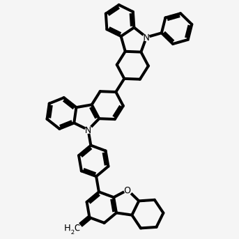 C=C1C=C(c2ccc(-n3c4c(c5ccccc53)CC(C3CCC5C(C3)c3ccccc3N5c3ccccc3)C=C4)cc2)C2=C(C1)C1CCCCC1O2